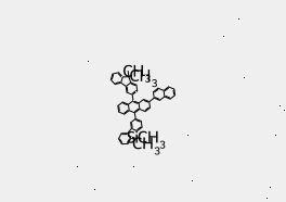 CC1(C)c2ccccc2-c2cc(-c3c4ccccc4c(-c4ccc5c(c4)-c4ccccc4[Si]5(C)C)c4ccc(-c5ccc6ccccc6c5)cc34)ccc21